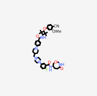 COc1cc(O[C@H]2C(C)(C)[C@H](NC(=O)c3ccc(N4CCC(CN5CCN(c6ccc(F)c(C(=O)N[C@H]7CCC(=O)NCOC7)c6)CC5)CC4)cc3)C2(C)C)ccc1C#N